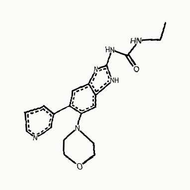 CCNC(=O)Nc1nc2cc(-c3cccnc3)c(N3CCOCC3)cc2[nH]1